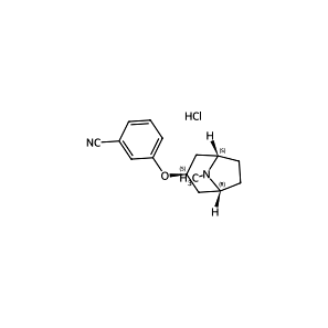 CN1[C@@H]2CC[C@H]1C[C@H](Oc1cccc(C#N)c1)C2.Cl